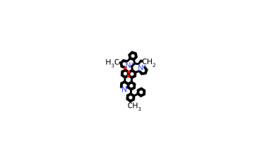 C=CC1C2c3ccccc3-c3cc(C)cc[n+]3C2c2ccc(-c3ccc(-c4ccc(C)cc4-c4ccccc4)c4nccc(-c5ccccc5)c34)cc2-c2cccc[n+]21